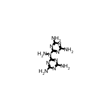 Nc1nc(N)nc(N(N)c2nc(N)nc(N)n2)n1